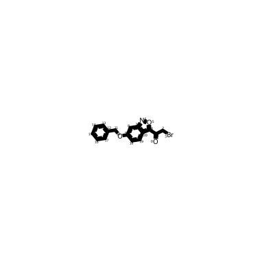 O=C(CBr)c1onc2cc(OCc3ccccc3)ccc12